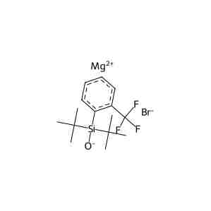 CC(C)(C)[Si]([O-])(c1ccccc1C(F)(F)F)C(C)(C)C.[Br-].[Mg+2]